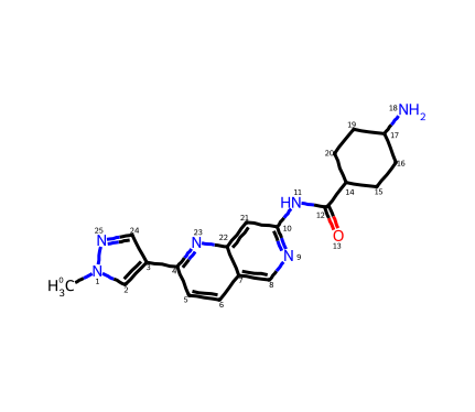 Cn1cc(-c2ccc3cnc(NC(=O)C4CCC(N)CC4)cc3n2)cn1